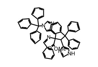 COC(=O)C(Cc1cn(C(c2ccccc2)(c2ccccc2)c2ccccc2)cn1)(N=Cc1ccccc1)C(c1c[nH]cn1)C(c1ccccc1)(c1ccccc1)c1ccccc1